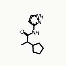 CC(C(=O)Nc1cc[nH]n1)C1CCCC1